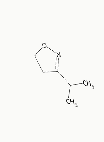 CC(C)C1=NOCC1